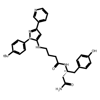 CC(C)(C)c1ccc(-n2nc(-c3cccnc3)cc2NCCCC(=O)N[C@@H](CC(N)=O)Cc2ccc(O)cc2)cc1